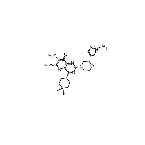 Cc1nc2c(C3CCC(F)(F)CC3)nc(N3CCO[C@@H](c4cnn(C)c4)C3)nc2c(=O)n1C